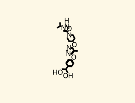 Cc1c(Oc2ccc(C(CO)CO)cc2)ncnc1OC1CCN(C2=CN(C(C)C)NO2)CC1